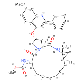 COc1ccc2c(O[C@@H]3C[C@H]4C(=O)N[C@]5(C(=O)O)C[C@H]5CCCCCCC[C@H](NC(=O)OC(C)(C)C)C(=O)N4C3)cc(-c3ccccc3)nc2c1